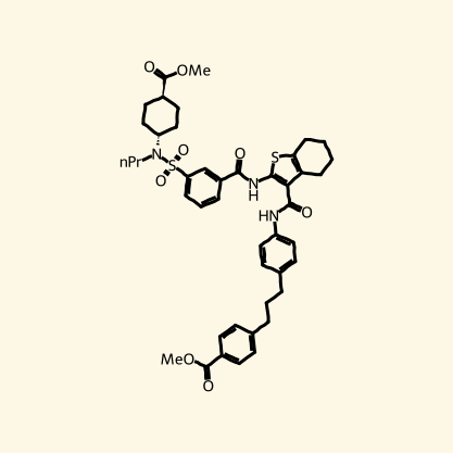 CCCN([C@H]1CC[C@H](C(=O)OC)CC1)S(=O)(=O)c1cccc(C(=O)Nc2sc3c(c2C(=O)Nc2ccc(CCCc4ccc(C(=O)OC)cc4)cc2)CCCC3)c1